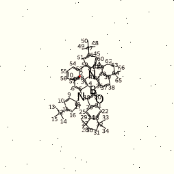 Cc1cc2c3c(c1)N(c1ccc(C(C)(C)C)cc1)c1c(oc4cc5c(cc14)C(C)(C)CCC5(C)C)B3c1ccc3c(c1N2c1ccc(C(C)(C)C)cc1-c1ccccc1)C(C)(C)CCC3(C)C